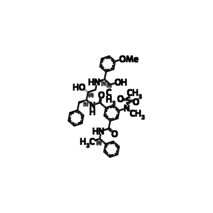 COc1cccc([C@H](NC[C@@H](O)[C@H](Cc2ccccc2)NC(=O)c2cc(C(=O)N[C@H](C)c3ccccc3)cc(N(C)S(C)(=O)=O)c2)[C@@H](C)O)c1